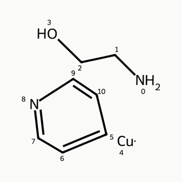 NCCO.[Cu].c1ccncc1